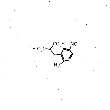 CCOC(=O)C(Cc1cc(N=O)ccc1C)C(=O)OCC